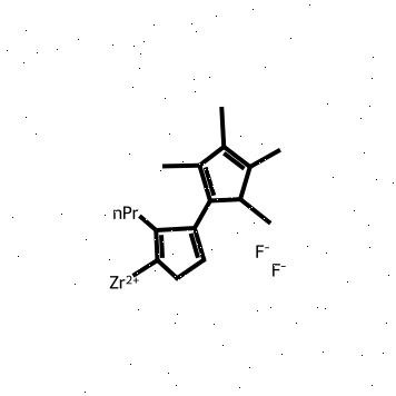 CCCC1=[C]([Zr+2])CC=C1C1=C(C)C(C)=C(C)C1C.[F-].[F-]